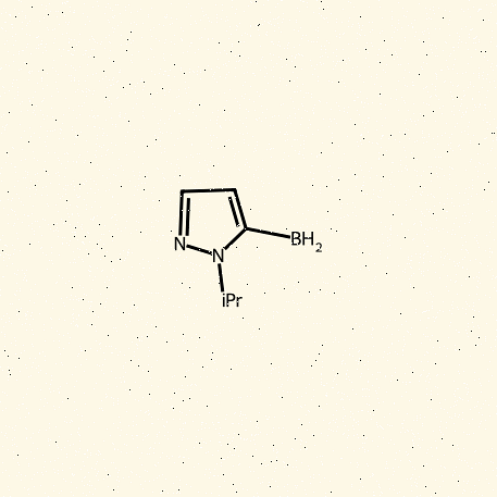 Bc1ccnn1C(C)C